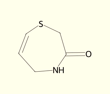 O=C1CSC=CCN1